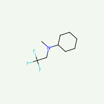 CN(CC(F)(F)F)C1CCCCC1